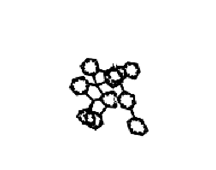 c1ccc(-c2ccc(-c3nc(-c4ccccc4C4(c5ccccc5)c5ccccc5C5(c6ccccc6)c6ccccc6-c6cccc4c65)nc4ccccc34)cc2)cc1